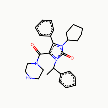 CC(c1ccccc1)n1c(C(=O)N2CCNCC2)c(-c2ccccc2)n(C2CCCCC2)c1=O